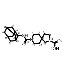 O=C(O)N1CCC2(CCN(C(=O)NC3C4CC5CC(C4)CC3C5)CC2)C1